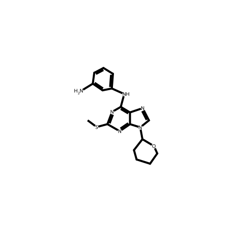 CSc1nc(Nc2cccc(N)c2)c2ncn(C3CCCCO3)c2n1